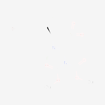 CC(C)(C)OC(=O)N(C(=O)OC(C)(C)C)C1=N[C@](CF)(c2cc(Br)ccc2F)CS(=O)(=O)C1(C)C